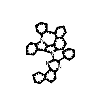 c1ccc(-c2nc3ccc4ccccc4c3nc2-n2c3ccc4cccc5c6ccccc6n6c7ccccc7c2c6c3c45)cc1